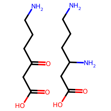 NCCCC(=O)CC(=O)O.NCCCC(N)CC(=O)O